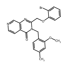 COc1cc(C)ccc1Cn1c(COc2ccccc2Br)nc2cnccc2c1=O